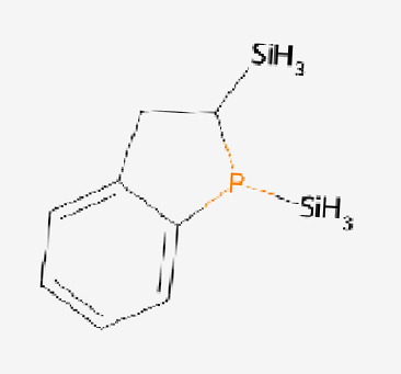 [SiH3]C1Cc2ccccc2P1[SiH3]